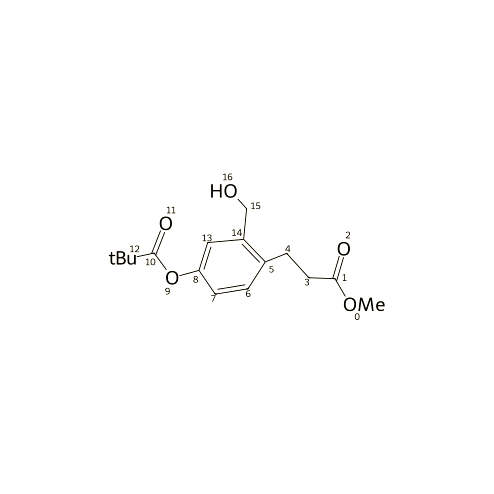 COC(=O)CCc1ccc(OC(=O)C(C)(C)C)cc1CO